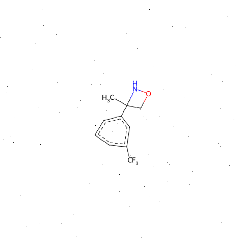 CC1(c2cccc(C(F)(F)F)c2)[CH]ON1